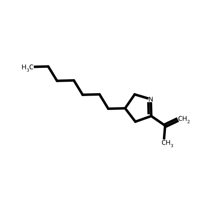 C=C(C)C1=NCC(CCCCCCC)C1